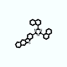 c1ccc2cc3c(cc2c1)sc1cc(-c2nc(-c4cccc5ccccc45)nc(-c4cccc5ccccc45)n2)ccc13